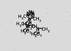 CCCC[N+](CCCC)(CCCC)CCCC.CCCC[N+](CCCC)(CCCC)CCCC.CCCC[N+](CCCC)(CCCC)CCCC.N#[C][Fe-3]([C]#N)([C]#N)([C]#N)([C]#N)[C]#N